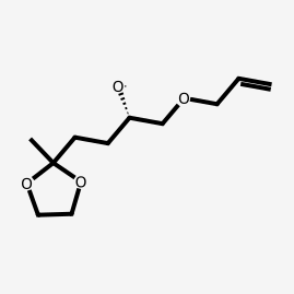 C=CCOC[C@@H]([O])CCC1(C)OCCO1